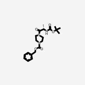 C[C@H](NC(=O)OC(C)(C)C)C(=O)N1CCN(C(=O)OCc2ccccc2)CC1